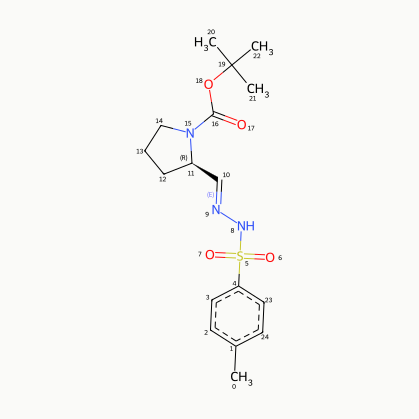 Cc1ccc(S(=O)(=O)N/N=C/[C@H]2CCCN2C(=O)OC(C)(C)C)cc1